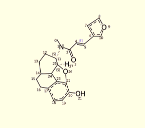 CN(C(=O)/C=C/c1ccoc1)[C@H]1CCC2CCc3ccc(O)c4c3C2[C@@H]1O4